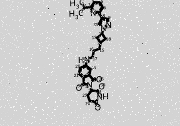 CC(C)c1cccc(-c2cnn(C3CC(CCCNc4ccc5c(c4)C(=O)N(C4CCC(=O)NC4=O)C5=O)C3)c2)n1